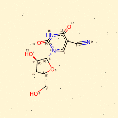 N#Cc1cn([C@@H]2O[C@H](CO)C[C@H]2O)c(=O)[nH]c1=O